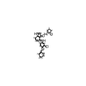 O=C1CCCN1CCOc1n[nH]c2ccnc(Nc3ccc(OCc4ccccn4)c(Cl)c3)c12